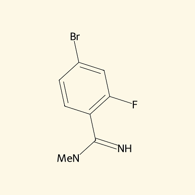 CNC(=N)c1ccc(Br)cc1F